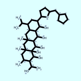 CC(C)C1CC(C2CCC(CC3CCCC3)O2)C(O)C2C(O)C3C(O)C4(O)C(O)C(C(C)O)C(C)CC4(C)CC3(C)CC12